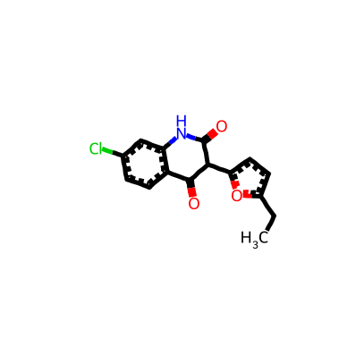 CCc1ccc(C2C(=O)Nc3cc(Cl)ccc3C2=O)o1